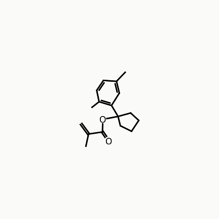 C=C(C)C(=O)OC1(c2cc(C)ccc2C)CCCC1